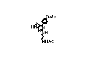 COc1ccc(-c2nc(NCCCNC(C)=O)nc3[nH]cnc23)cc1